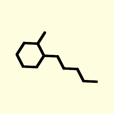 CCCCCC1CCCCC1C